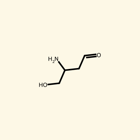 NC(CO)CC=O